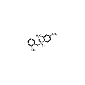 Cc1ccc(S(=O)(=O)Oc2ccccc2C)c(C)c1